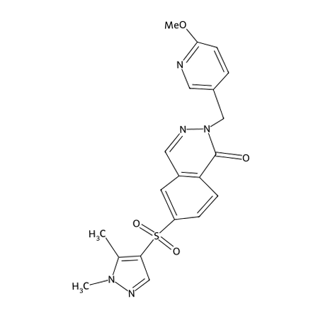 COc1ccc(Cn2ncc3cc(S(=O)(=O)c4cnn(C)c4C)ccc3c2=O)cn1